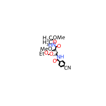 CCOCOC[C@H](C[C@H](COC)C(=O)NOC(C)(C)OC)NC(=O)c1ccc(C#N)cc1